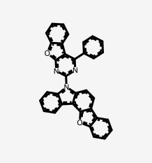 c1ccc(-c2nc(-n3c4ccccc4c4c5oc6ccccc6c5ccc43)nc3oc4ccccc4c23)cc1